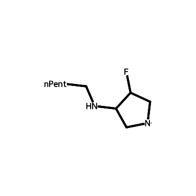 CCCCCCNC1C[N]CC1F